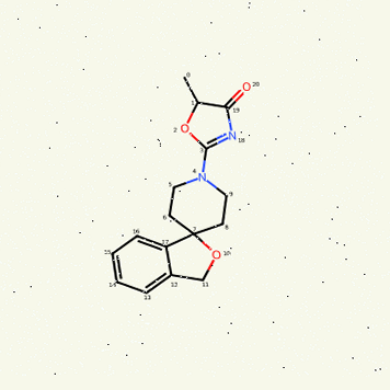 CC1OC(N2CCC3(CC2)OCc2ccccc23)=NC1=O